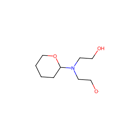 [O]CCN(CCO)C1CCCCO1